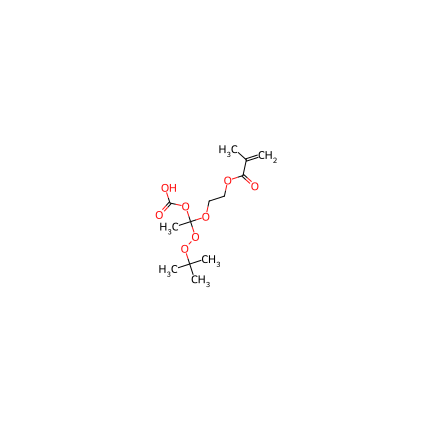 C=C(C)C(=O)OCCOC(C)(OOC(C)(C)C)OC(=O)O